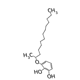 CCCCCCCCCCCCC(C)Oc1cccc(O)c1O